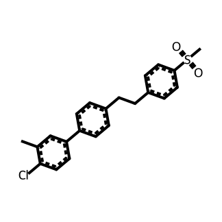 Cc1cc(-c2ccc(CCc3ccc(S(C)(=O)=O)cc3)cc2)ccc1Cl